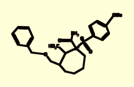 COc1ccc(S(=O)(=O)[N+]2(C(N)=O)CCCCC(COCc3ccccc3)C2C(=O)O)cc1